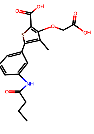 CCCC(=O)Nc1cccc(-c2sc(C(=O)O)c(OCC(=O)O)c2C)c1